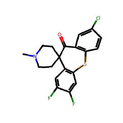 CN1CCC2(CC1)C(=O)c1cc(Cl)ccc1Sc1cc(F)c(F)cc12